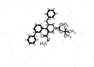 COC(=O)C1=C(c2cccc(-c3ccccc3)c2)C(Cc2ccccc2)CN(C(=O)OC(C)(C)C)C1